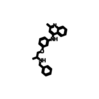 Cc1cc(Nc2cccc(OCC(C)NCc3ccccc3)c2)c2ccccc2n1